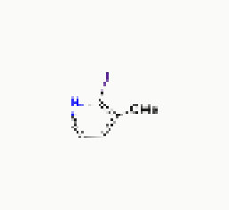 COc1c[c]cnc1I